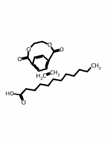 C=C.CCCCCCCCCCCC(=O)O.O=C1OCCOC(=O)c2ccc1cc2